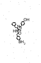 Bc1ccc(CC(=O)Nc2ncc(-c3ccc(O)cc3)nc2Cc2ccccc2)cc1